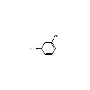 CC1=CC=C[C@@H](C)[CH]1